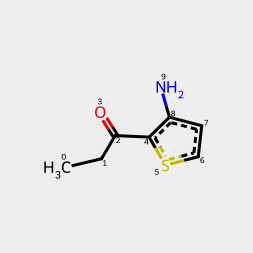 CCC(=O)c1sccc1N